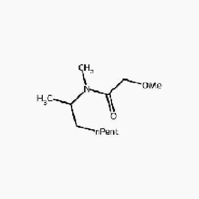 CCCCCCC(C)N(C)C(=O)COC